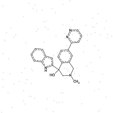 CN1Cc2cc(-c3cccnn3)ccc2C(O)(c2cc3ccccc3[nH]2)C1